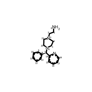 NCCN1CCN([C@H](c2ccccc2)c2ccccn2)CC1